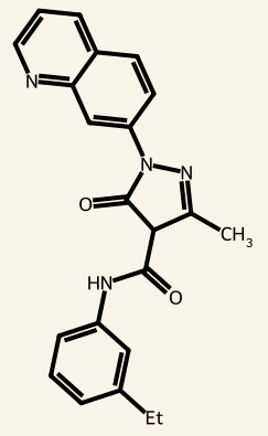 CCc1cccc(NC(=O)C2C(=O)N(c3ccc4cccnc4c3)N=C2C)c1